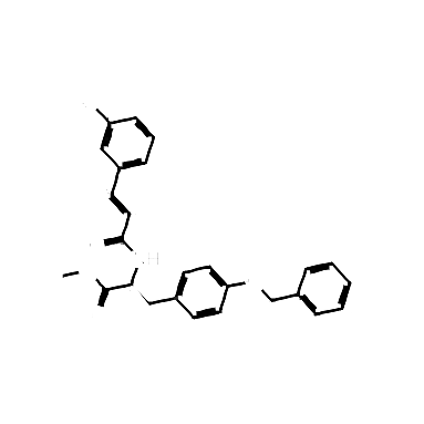 COC(=O)[C@H](Cc1ccc(OCc2ccccc2)cc1)NC(=O)/C=C/c1cccc(Br)c1